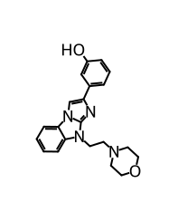 Oc1cccc(-c2cn3c4ccccc4n(CCN4CCOCC4)c3n2)c1